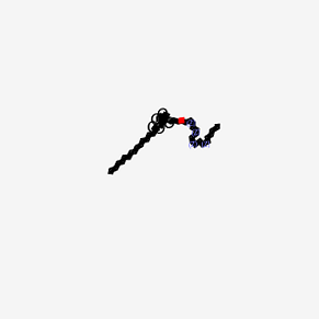 CCCCC/C=C\C/C=C\C/C=C\C/C=C\CCCCO[C@]12COP1(=O)C2OC(=O)CCCCCCCCCCCCCCC